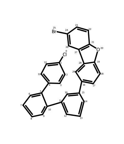 Clc1ccc(-c2ccccc2-c2cccc(-c3ccc4oc5ccc(Br)cc5c4c3)c2)cc1